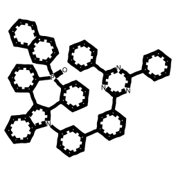 O=P1(c2ccc3ccccc3c2)c2ccccc2-c2c(n(-c3cccc(-c4cccc(-c5nc(-c6ccccc6)nc(-c6ccccc6)n5)c4)c3)c3ccccc23)-c2ccccc21